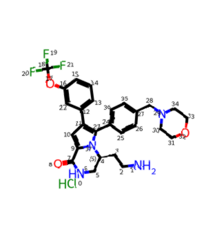 Cl.NCC[C@H]1CNC(=O)c2cc(-c3cccc(OC(F)(F)F)c3)c(-c3ccc(CN4CCOCC4)cc3)n21